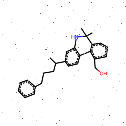 CC(CCCc1ccccc1)c1ccc2c(c1)NC(C)(C)c1cccc(CO)c1-2